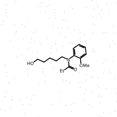 CCC(=O)N(CCCCCO)c1ccccc1OC